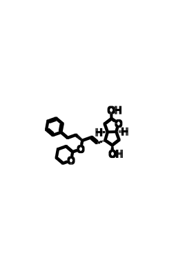 OC1C[C@@H]2[C@@H](C=C[C@H](CCc3ccccc3)OC3CCCCO3)[C@H](O)C[C@@H]2O1